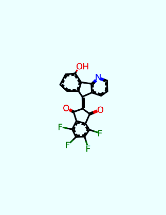 O=C1C(=C2c3cccnc3-c3c(O)cccc32)C(=O)c2c(F)c(F)c(F)c(F)c21